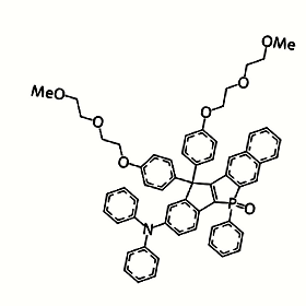 COCCOCCOc1ccc(C2(c3ccc(OCCOCCOC)cc3)C3=C(c4ccc(N(c5ccccc5)c5ccccc5)cc42)P(=O)(c2ccccc2)c2cc4ccccc4cc23)cc1